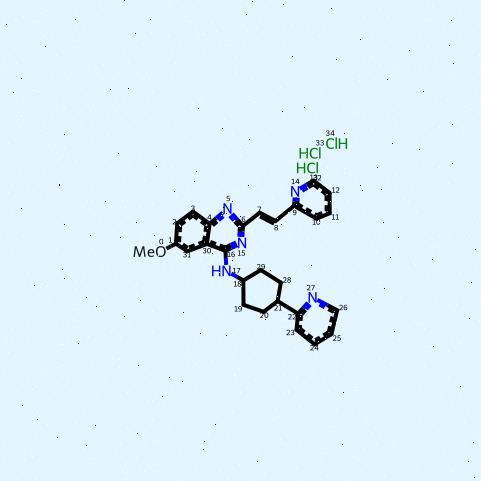 COc1ccc2nc(C=Cc3ccccn3)nc(NC3CCC(c4ccccn4)CC3)c2c1.Cl.Cl.Cl